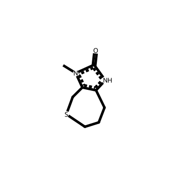 Cn1c2c([nH]c1=O)CCCSC2